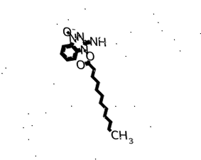 CCCCCCCCCCCC(=O)On1c(=N)n[n+]([O-])c2ccccc21